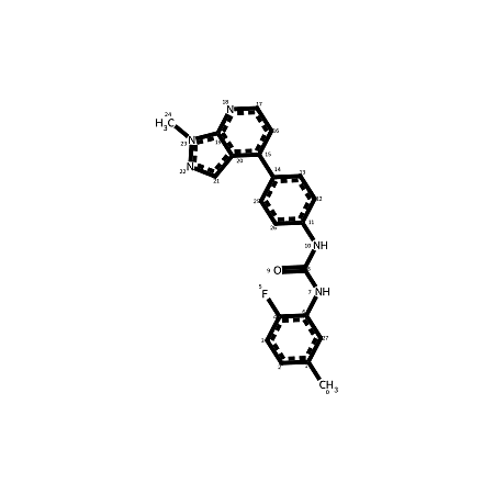 Cc1ccc(F)c(NC(=O)Nc2ccc(-c3ccnc4c3cnn4C)cc2)c1